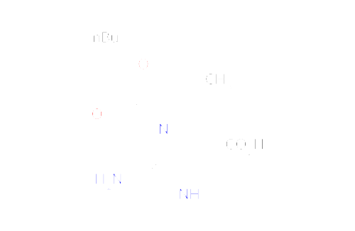 CCCCOC(=O)N(C(=N)N)C(C)C(=O)O